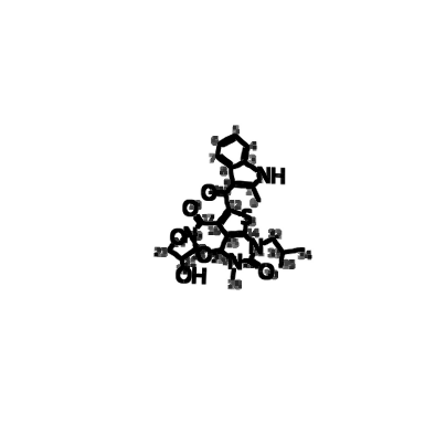 Cc1[nH]c2ccccc2c1C(=O)c1sc2c(c1C(=O)N1CC(O)CO1)c(=O)n(C)c(=O)n2CC(C)C